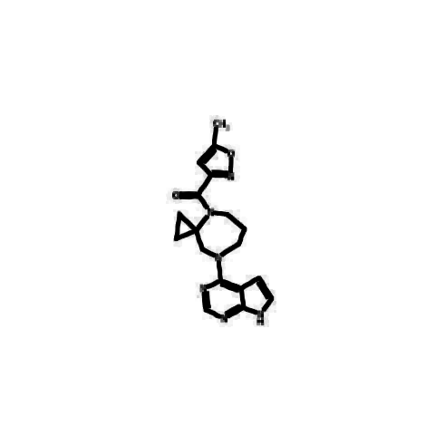 Cc1cc(C(=O)N2CCCN(c3ncnc4[nH]ccc34)CC23CC3)no1